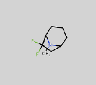 CN1C2CCCC1C(F)(F)C2